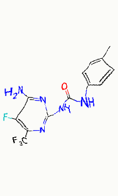 Cc1ccc(NC(=O)Nc2nc(N)c(F)c(C(F)(F)F)n2)cc1